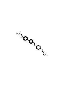 CCCC[C@H]1CC[C@H](CCc2ccc(-c3ccc(OCC)cn3)cc2)CC1